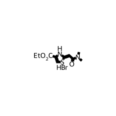 Br.CCOC(=O)C1=CSC(=CC(=O)N(C)C)N1